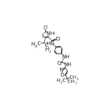 CC(C)C1=C(C(=O)Nc2ccc(NC(=O)Nc3cc(C(C)(C)C)on3)cc2)NC(Cl)S1